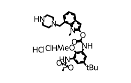 COc1c(NC(=O)Oc2cc3cccc(CN4CCNCC4)c3n2C)cc(C(C)(C)C)cc1NS(C)(=O)=O.Cl.Cl